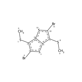 CSc1c(Br)sc2c(SC)c(Br)sc12